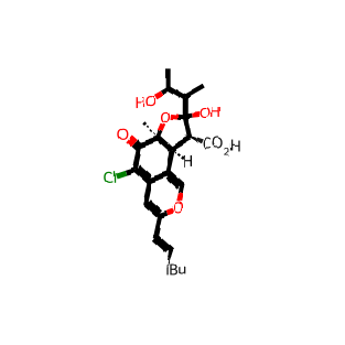 CC[C@H](C)/C=C/C1=CC2=C(Cl)C(=O)[C@@]3(C)OC(O)(C(C)C(C)O)[C@@H](C(=O)O)[C@H]3C2=CO1